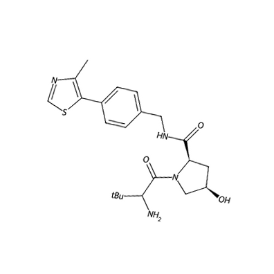 Cc1ncsc1-c1ccc(CNC(=O)[C@H]2C[C@@H](O)CN2C(=O)C(N)C(C)(C)C)cc1